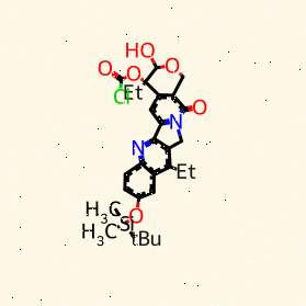 CCc1c2c(nc3ccc(O[Si](C)(C)C(C)(C)C)cc13)-c1cc3c(c(=O)n1C2)COC(O)[C@@]3(CC)OC(=O)Cl